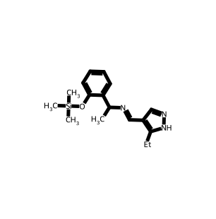 CCc1[nH]ncc1C=NC(C)c1ccccc1O[Si](C)(C)C